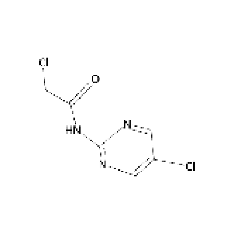 O=C(CCl)Nc1ncc(Cl)cn1